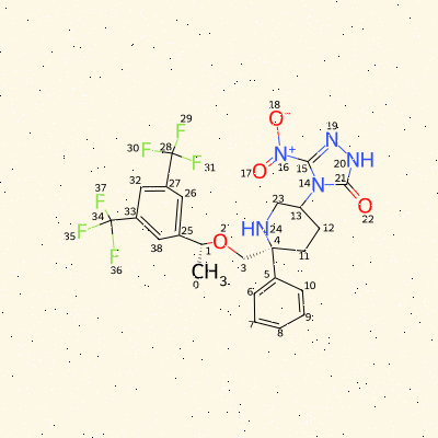 C[C@@H](OC[C@@]1(c2ccccc2)CCC(n2c([N+](=O)[O-])n[nH]c2=O)CN1)c1cc(C(F)(F)F)cc(C(F)(F)F)c1